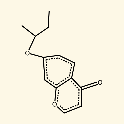 CCC(C)Oc1ccc2c(=O)ccoc2c1